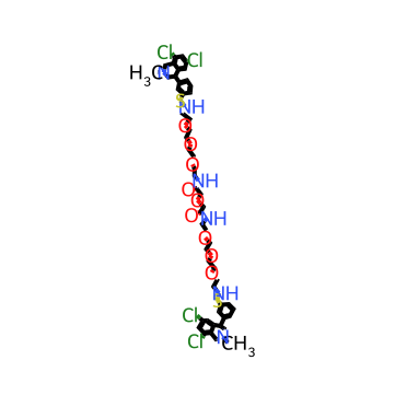 CN1Cc2c(Cl)cc(Cl)cc2C(c2cccc(SNCCOCCOCCOCCNC(=O)COCC(=O)NCCOCCOCCOCCNSc3cccc(C4CN(C)Cc5c(Cl)cc(Cl)cc54)c3)c2)C1